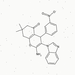 CC1(C)CC(=O)C2=C(C1)OC(N)=C(n1cnc3ccccc31)C2c1cccc([N+](=O)[O-])c1